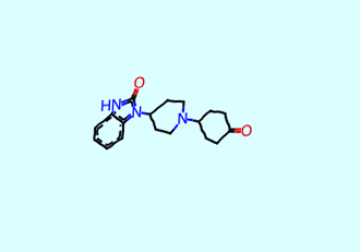 O=C1CCC(N2CCC(n3c(=O)[nH]c4ccccc43)CC2)CC1